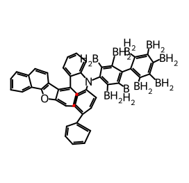 Bc1c(B)c(B)c(-c2c(B)c(B)c(N(c3ccc(-c4ccccc4)cc3)c3ccccc3-c3cccc4oc5c6ccccc6ccc5c34)c(B)c2B)c(B)c1B